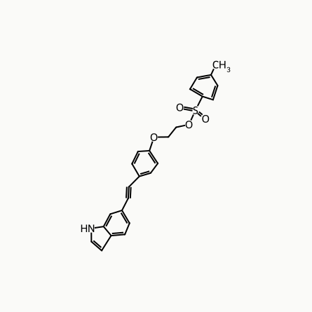 Cc1ccc(S(=O)(=O)OCCOc2ccc(C#Cc3ccc4cc[nH]c4c3)cc2)cc1